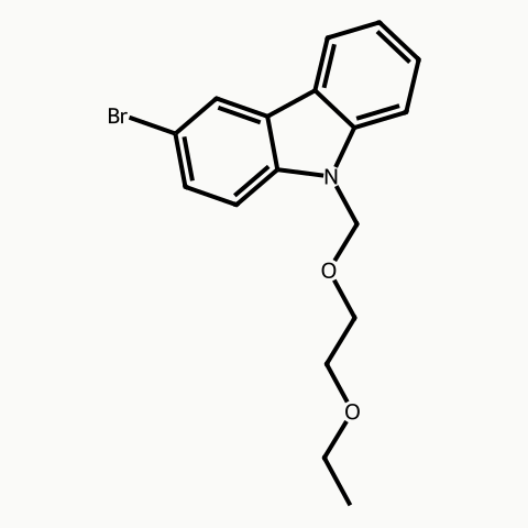 CCOCCOCn1c2ccccc2c2cc(Br)ccc21